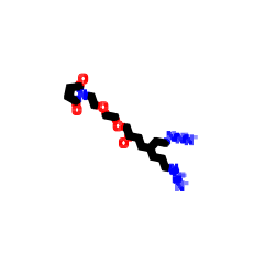 [N-]=[N+]=NCCCC(CCN=[N+]=[N-])CCC(=O)COCCOCCN1C(=O)C=CC1=O